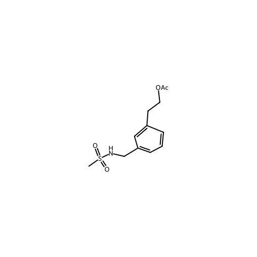 CC(=O)OCCc1cccc(CNS(C)(=O)=O)c1